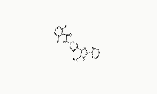 Cc1sc(-c2ccccn2)nc1-c1ccc(NC(=O)c2c(F)cccc2F)cc1